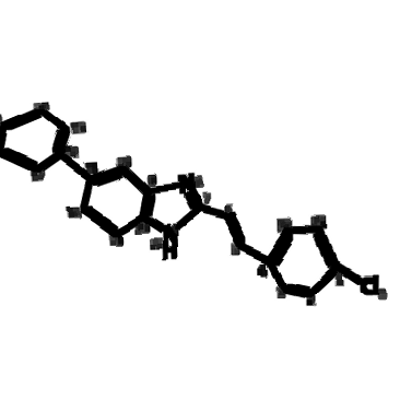 Clc1ccc(C=Cc2nc3cc(-c4ccccc4)ccc3[nH]2)cc1